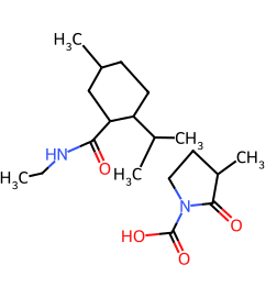 CC1CCN(C(=O)O)C1=O.CCNC(=O)C1CC(C)CCC1C(C)C